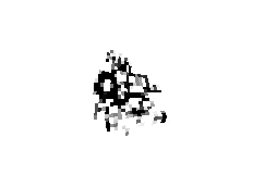 CO[C@H]1[C@@H](C(F)F)OC(C)=N[C@]1(C)c1cc([N+](=O)[O-])ccc1F